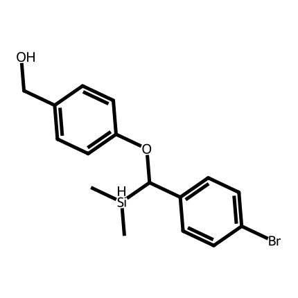 C[SiH](C)C(Oc1ccc(CO)cc1)c1ccc(Br)cc1